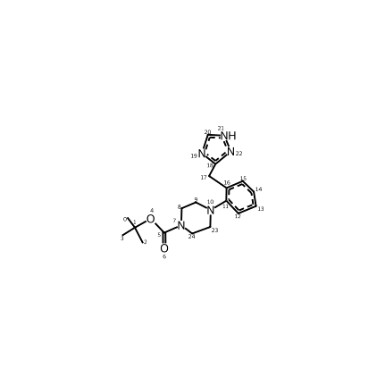 CC(C)(C)OC(=O)N1CCN(c2ccccc2Cc2nc[nH]n2)CC1